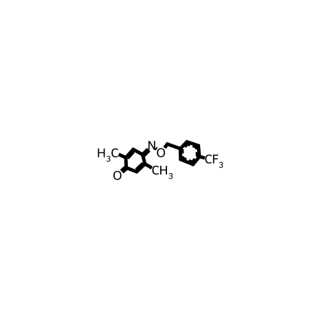 CC1=CC(=NOCc2ccc(C(F)(F)F)cc2)C(C)=CC1=O